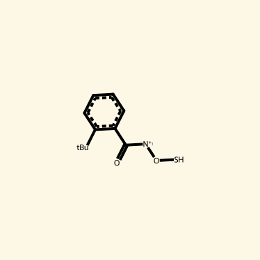 CC(C)(C)c1ccccc1C(=O)[N+]OS